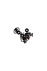 CC(C)S(=O)(=O)c1ccc(-c2cnc(N(C(=O)OC(C)(C)C)C(=O)OC(C)(C)C)c(C3=CC(CBr)(c4ccccc4)NO3)n2)cc1